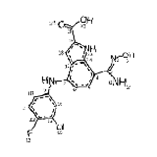 NC(=NO)c1ccc(Nc2ccc(F)c(Cl)c2)c2cc(C(=O)O)[nH]c12